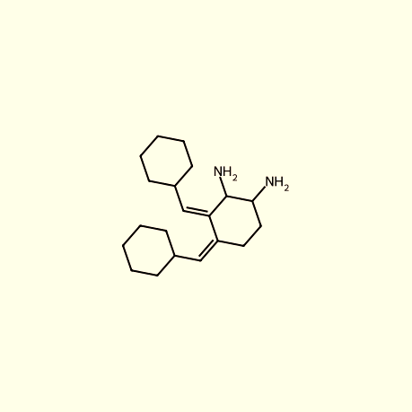 NC1CCC(=CC2CCCCC2)C(=CC2CCCCC2)C1N